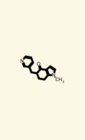 Cn1ccc2c1CCC(Cc1cccnc1)C2=O